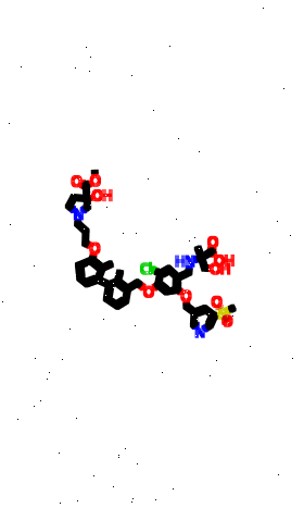 COC(=O)C1(O)CCN(CCCOc2cccc(-c3cccc(COc4cc(OCc5cncc(S(C)(=O)=O)c5)c(CNC(C)(CO)C(=O)O)cc4Cl)c3C)c2C)C1